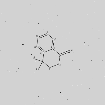 CC1(C)CCC(=O)c2cc[c]cc21